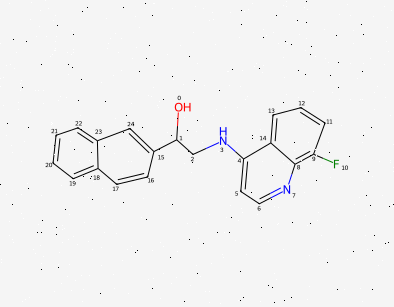 OC(CNc1ccnc2c(F)cccc12)c1ccc2ccccc2c1